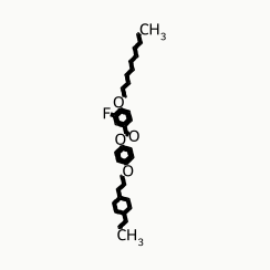 CCCCCCCCCCCOc1ccc(C(=O)Oc2ccc(OCCCC3CCC(CCC)CC3)cc2)cc1F